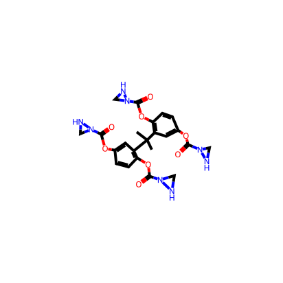 CC(C)(c1cc(OC(=O)N2CN2)ccc1OC(=O)N1CN1)c1cc(OC(=O)N2CN2)ccc1OC(=O)N1CN1